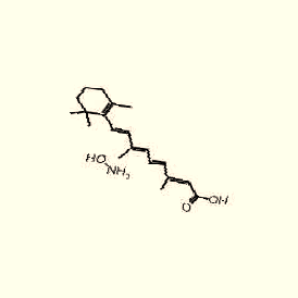 CC1=C(/C=C/C(C)=C/C=C/C(C)=C/C(=O)O)C(C)(C)CCC1.NO